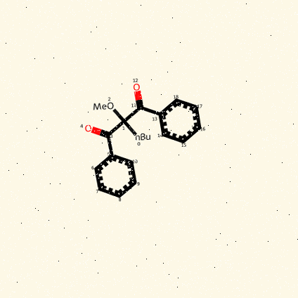 [CH2]CCCC(OC)(C(=O)c1ccccc1)C(=O)c1ccccc1